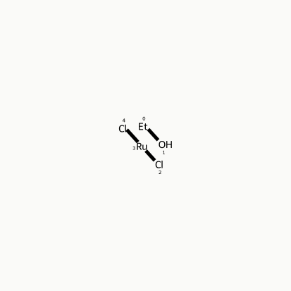 CCO.[Cl][Ru][Cl]